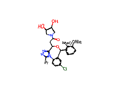 COc1cccc(C2OC(CC(=O)N3CC(O)C(O)C3)c3nnc(C(C)C)n3-c3ccc(Cl)cc32)c1OC